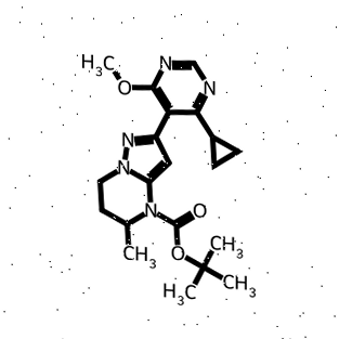 COc1ncnc(C2CC2)c1-c1cc2n(n1)CCC(C)N2C(=O)OC(C)(C)C